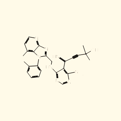 Cc1ccccc1-n1c(CNc2ncnc(N)c2C(=N)C#CC(C)(C)O)nc2nccc(C)c21